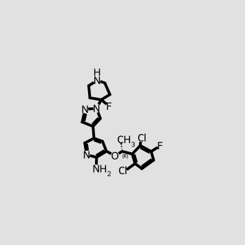 C[C@@H](Oc1cc(-c2cnn(C3(F)CCNCC3)c2)cnc1N)c1c(Cl)ccc(F)c1Cl